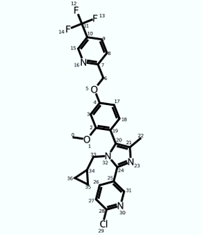 COc1cc(OCc2ccc(C(F)(F)F)cn2)ccc1-c1c(C)nc(-c2ccc(Cl)nc2)n1CC1CC1